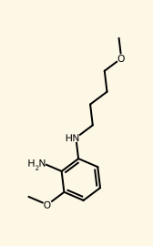 COCCCCNc1cccc(OC)c1N